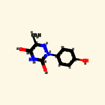 O=C(O)c1nn(-c2ccc(O)cc2)c(=O)[nH]c1=O